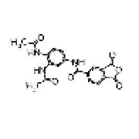 CC(=O)Nc1ccc(NC(=O)c2ccc3c(c2)C(=O)OC3=O)cc1NC(C)=O